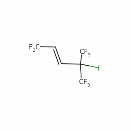 FC(F)(F)/C=C/C(F)(C(F)(F)F)C(F)(F)F